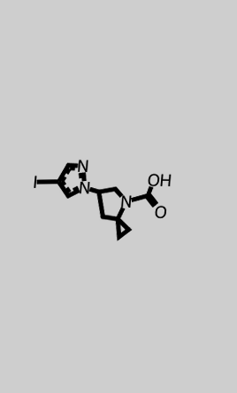 O=C(O)N1CC(n2cc(I)cn2)CC12CC2